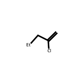 [CH2]CCC(=C)Cl